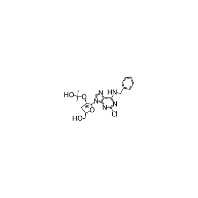 CC(C)(O)O[C@@H]1CC(CO)OC1n1cnc2c(NCc3ccccc3)nc(Cl)nc21